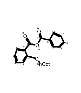 CCCCCCCCOc1ccccc1C(=O)OC(=O)c1ccccc1